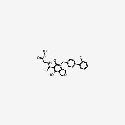 CC(C)(C)OC(=O)CNC(=O)c1c(O)c2c(n(Cc3ccc(-c4ccccc4Cl)cc3)c1=O)COC2